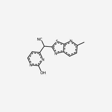 Cc1ccc2nc(C(C#N)c3ccnc(O)n3)sc2n1